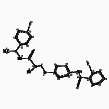 CC(NC(=O)N(S)COc1ccc(NC(=O)c2ccccc2F)cc1)c1ccc(F)cc1